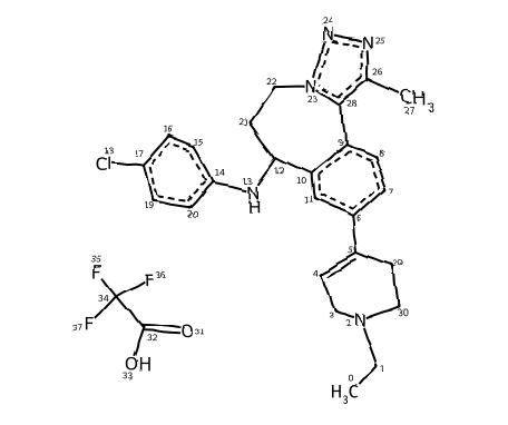 CCN1CC=C(c2ccc3c(c2)C(Nc2ccc(Cl)cc2)CCn2nnc(C)c2-3)CC1.O=C(O)C(F)(F)F